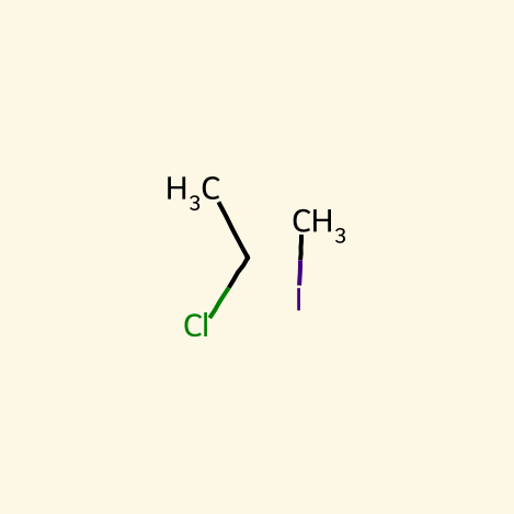 CCCl.CI